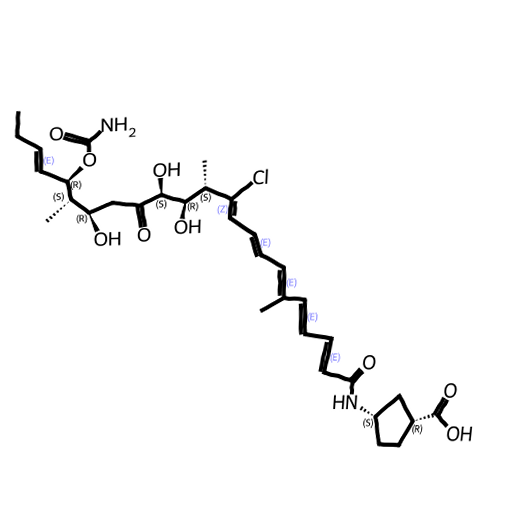 CC/C=C/[C@@H](OC(N)=O)[C@@H](C)[C@H](O)CC(=O)[C@@H](O)[C@H](O)[C@H](C)/C(Cl)=C/C=C/C=C(C)/C=C/C=C/C(=O)N[C@H]1CC[C@@H](C(=O)O)C1